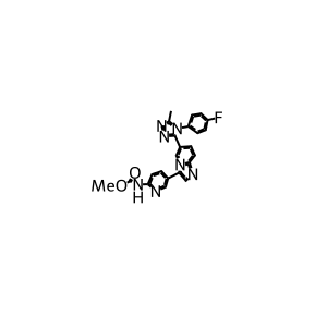 COC(=O)Nc1ccc(-c2cnc3ccc(-c4nnc(C)n4-c4ccc(F)cc4)cn23)cn1